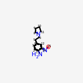 Nc1ccc(CCN2CCCC2)cc1N=O